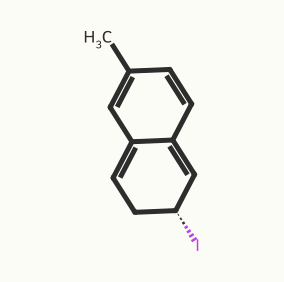 Cc1ccc2c(c1)=CC[C@@H](I)C=2